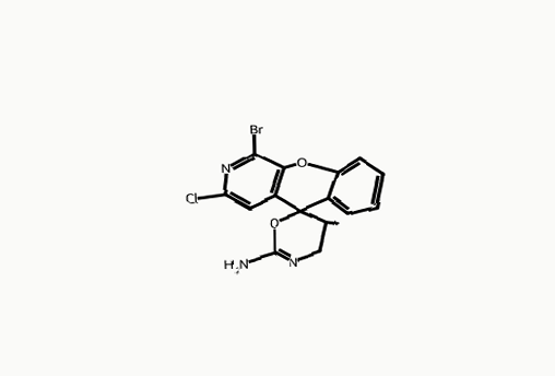 CC1CN=C(N)OC12c1ccccc1Oc1c2cc(Cl)nc1Br